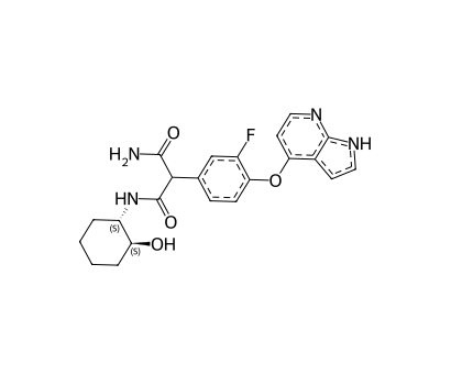 NC(=O)C(C(=O)N[C@H]1CCCC[C@@H]1O)c1ccc(Oc2ccnc3[nH]ccc23)c(F)c1